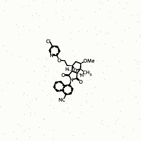 CO[C@@H]1C[C@]2(CCOc3ccc(Cl)cn3)O[C@@]1(C)[C@H]1C(=O)N(c3ccc(C#N)c4ccccc34)C(=O)[C@H]12